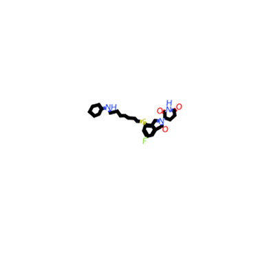 O=C1CCC(N2Cc3c(SCCCCCCCNC4CCCCC4)cc(F)cc3C2=O)C(=O)N1